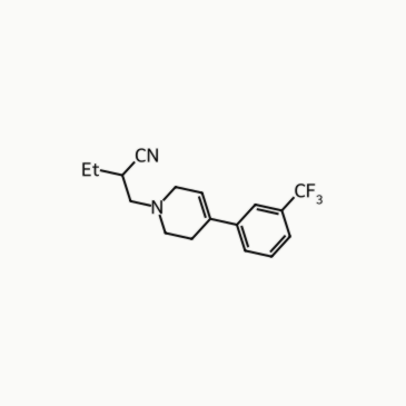 CCC(C#N)CN1CC=C(c2cccc(C(F)(F)F)c2)CC1